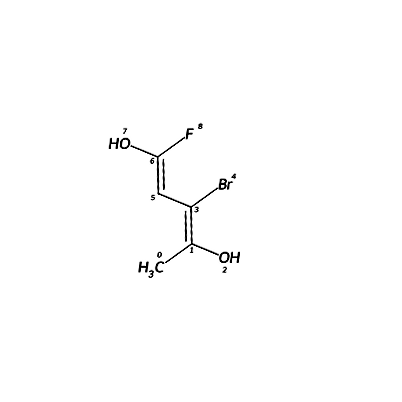 C/C(O)=C(Br)\C=C(\O)F